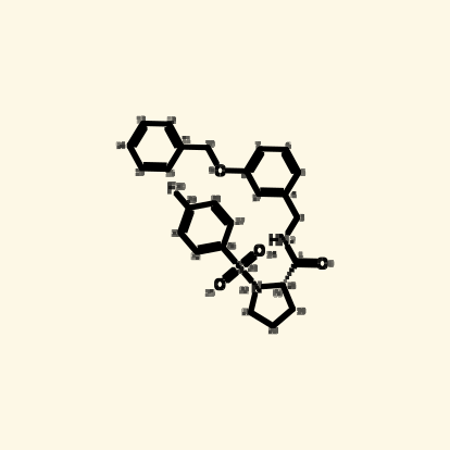 O=C(NCc1cccc(OCc2ccccc2)c1)[C@@H]1CCCN1S(=O)(=O)c1ccc(F)cc1